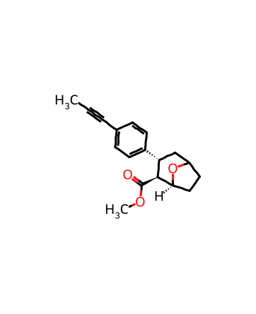 CC#Cc1ccc([C@@H]2CC3CC[C@H](O3)[C@H]2C(=O)OC)cc1